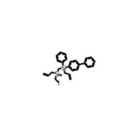 C=CC[Si](C)(CI)C[Si](CC=C)(c1ccccc1)c1ccc(-c2ccccc2)cc1